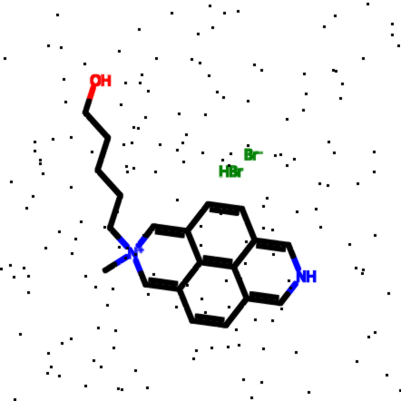 Br.C[N+]1(CCCCCO)C=c2ccc3c4c(ccc(c24)=C1)=CNC=3.[Br-]